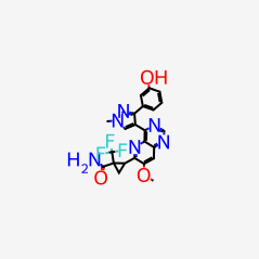 COc1cc2ncnc(-c3cn(C)nc3-c3cccc(O)c3)c2nc1C1CC1(C(N)=O)C(F)(F)F